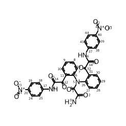 NC(=O)C(=O)N(c1ccccc1C(=O)C(=O)Nc1ccc([N+](=O)[O-])cc1)c1ccccc1C(=O)C(=O)Nc1ccc([N+](=O)[O-])cc1